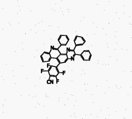 N#Cc1c(F)c(F)c(-c2cc3nc(-c4ccccc4)c(-c4ccccc4)nc3c3c(-c4ccccc4)nc4ccccc4c23)c(F)c1F